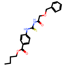 CCCCOC(=O)c1ccc(NC(=S)NC(=O)COCc2ccccc2)cc1